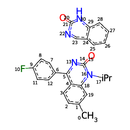 Cc1ccc2c(-c3ccc(F)cc3)nc(=O)n(C(C)C)c2c1.O=c1ncc2ccccc2[nH]1